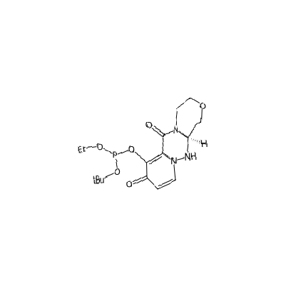 CCOP(Oc1c2n(ccc1=O)N[C@@H]1COCCN1C2=O)OC(C)(C)C